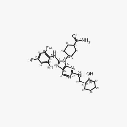 NC(=O)C1CCC(n2c(Nc3c(F)cc(F)cc3Cl)nc3cnc(NC[C@@H]4CCCC[C@H]4O)nc32)CC1